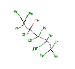 [O]C(Br)(C(Br)(Br)Br)C(Br)(Br)C(Br)(Br)C(Br)(Br)Br